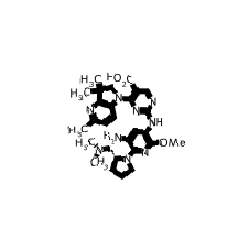 COc1nc(N2CCC[C@@H]2CN(C)C)c(N)cc1Nc1ncc(C(=O)O)c(N2CC(C)(C)c3nc(C)ccc32)n1